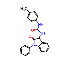 Cc1ccc(NC(=O)NC2C(=O)N(c3ccccc3)c3ccccc32)cc1